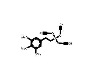 C#CO[Si](CCc1cc(OC)c(OC)c(OC)c1)(OC#C)OC#C